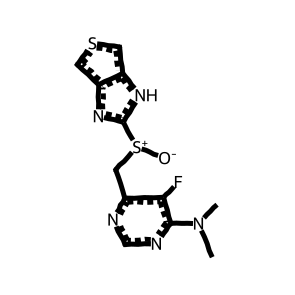 CN(C)c1ncnc(C[S+]([O-])c2nc3cscc3[nH]2)c1F